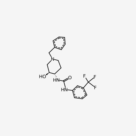 O=C(Nc1cccc(C(F)(F)F)c1)N[C@H]1CCN(Cc2ccccc2)C[C@@H]1O